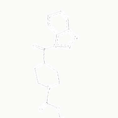 CC(C)(C)OC(=O)N1CCC(C(=O)n2nnc3ccccc32)CC1